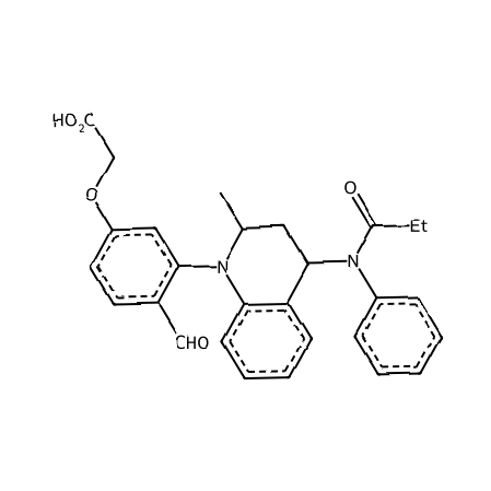 CCC(=O)N(c1ccccc1)C1CC(C)N(c2cc(OCC(=O)O)ccc2C=O)c2ccccc21